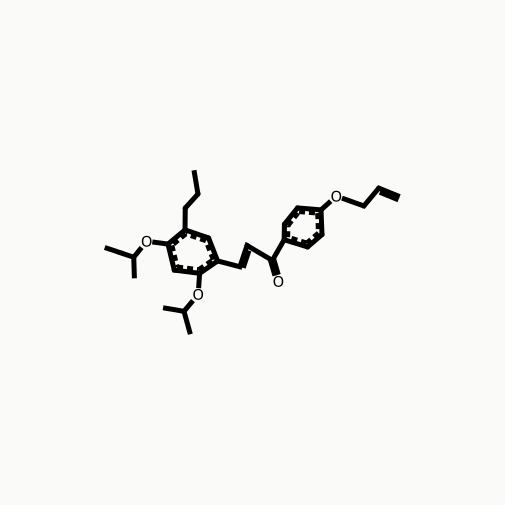 C=CCOc1ccc(C(=O)/C=C/c2cc(CCC)c(OC(C)C)cc2OC(C)C)cc1